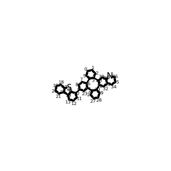 c1ccc2c(c1)-c1ccc(-c3cccc4c3sc3ccccc34)cc1-c1ccccc1-c1cc3cccnc3cc1-2